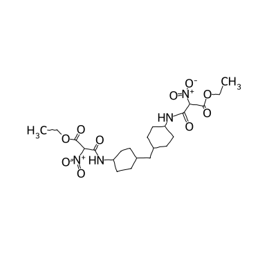 CCOC(=O)C(C(=O)NC1CCC(CC2CCC(NC(=O)C(C(=O)OCC)[N+](=O)[O-])CC2)CC1)[N+](=O)[O-]